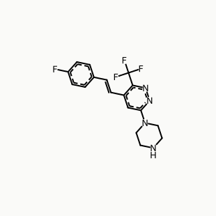 Fc1ccc(C=Cc2cc(N3CCNCC3)nnc2C(F)(F)F)cc1